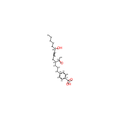 CCCCC[C@@H](O)C#CCC(CCCc1ccc(C(=O)O)cc1)C(C)=O